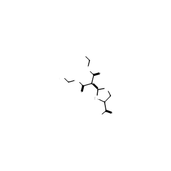 CCOC(=O)C(C(=O)OCC)=C1NC(C(=O)O)CS1